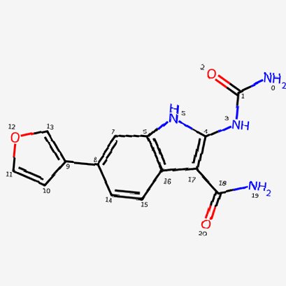 NC(=O)Nc1[nH]c2cc(-c3ccoc3)ccc2c1C(N)=O